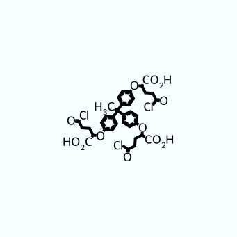 CC(c1ccc(OC(CCC(=O)Cl)C(=O)O)cc1)(c1ccc(OC(CCC(=O)Cl)C(=O)O)cc1)c1ccc(OC(CCC(=O)Cl)C(=O)O)cc1